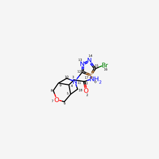 NC(=O)CC1C2COCC1CN(c1nnc(Br)s1)C2